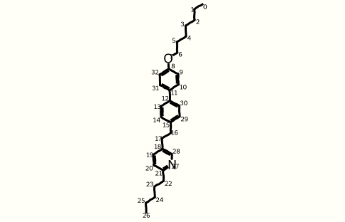 CCCCCCCOc1ccc(-c2ccc(CCc3ccc(CCCCC)nc3)cc2)cc1